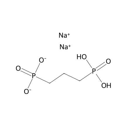 O=P([O-])([O-])CCCP(=O)(O)O.[Na+].[Na+]